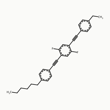 CCCCCCc1ccc(C#Cc2cc(F)c(C#Cc3ccc(CC)cc3)cc2F)cc1